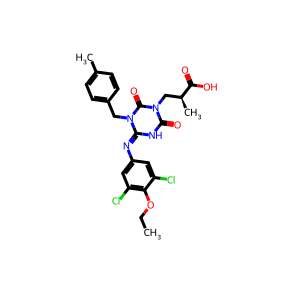 CCOc1c(Cl)cc(/N=c2\[nH]c(=O)n(C[C@H](C)C(=O)O)c(=O)n2Cc2ccc(C)cc2)cc1Cl